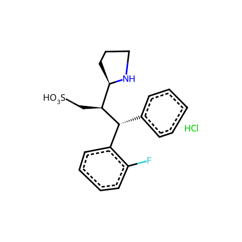 Cl.O=S(=O)(O)C[C@H]([C@H](c1ccccc1)c1ccccc1F)[C@H]1CCCN1